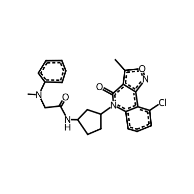 Cc1onc2c1c(=O)n(C1CCC(NC(=O)CN(C)c3ccccc3)C1)c1cccc(Cl)c21